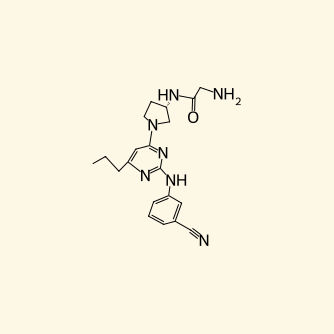 CCCc1cc(N2CC[C@H](NC(=O)CN)C2)nc(Nc2cccc(C#N)c2)n1